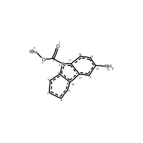 CC(C)(C)OC(=O)n1c2ccccc2c2cc(N)ccc21